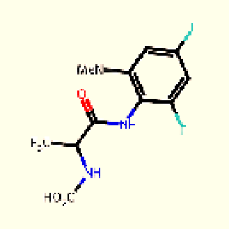 CNc1cc(F)cc(F)c1NC(=O)C(NC(=O)O)C(F)(F)F